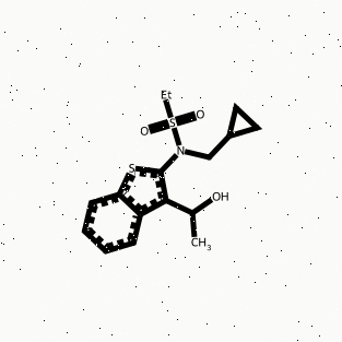 CCS(=O)(=O)N(CC1CC1)c1sc2ccccc2c1C(C)O